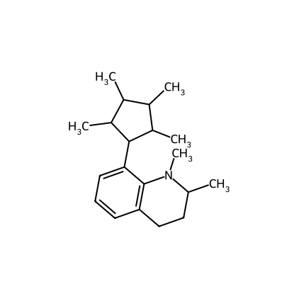 CC1C(C)C(C)C(c2cccc3c2N(C)C(C)CC3)C1C